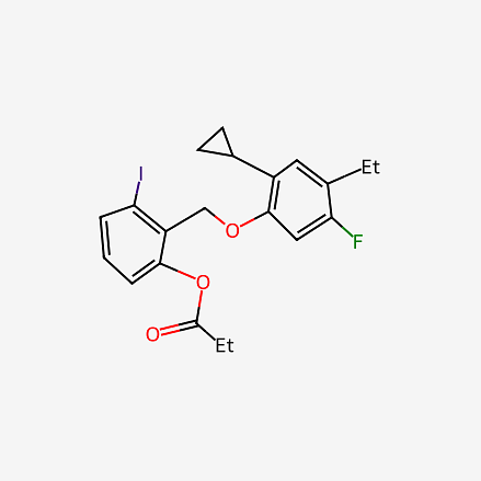 CCC(=O)Oc1cccc(I)c1COc1cc(F)c(CC)cc1C1CC1